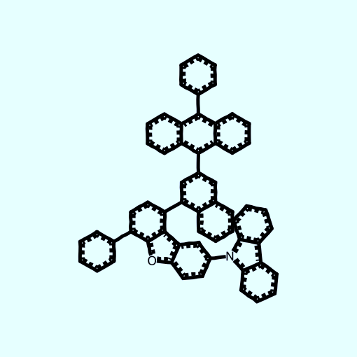 c1ccc(-c2c3ccccc3c(-c3cc(-c4ccc(-c5ccccc5)c5oc6ccc(-n7c8ccccc8c8ccccc87)cc6c45)c4ccccc4c3)c3ccccc23)cc1